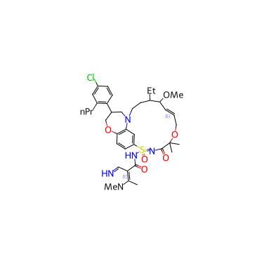 CCCc1cc(Cl)ccc1C1COc2ccc3cc2N(CCC(CC)C(OC)/C=C/COC(C)(C)C(=O)N=S3(=O)NC(=O)/C(C=N)=C(\C)NC)C1